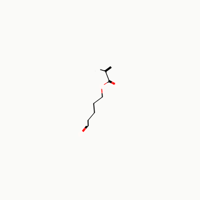 C=C(C)C(=O)OCCCCC=O